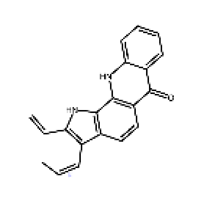 C=Cc1[nH]c2c(ccc3c(=O)c4ccccc4[nH]c32)c1/C=C\C